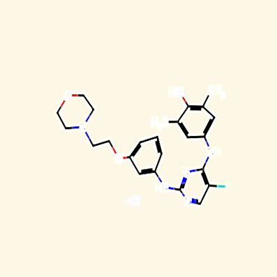 Cc1cc(Nc2nc(Nc3cccc(OCCN4CCOCC4)c3)ncc2F)cc(C)c1O.Cl